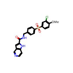 COc1ccc(S(=O)(=O)c2ccc(CNC(=O)c3cc4cnccc4[nH]3)cc2)cc1Cl